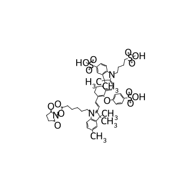 Cc1ccc2c(c1)C(C)(C)C(/C=C/C1=C(Oc3ccc(S(=O)(=O)O)cc3)C(=C/C=C3/N(CCCCS(=O)(=O)O)c4ccc(S(=O)(=O)O)cc4C3(C)C)/CCC1)=[N+]2CCCCCC(=O)ON1C(=O)CCC1=O